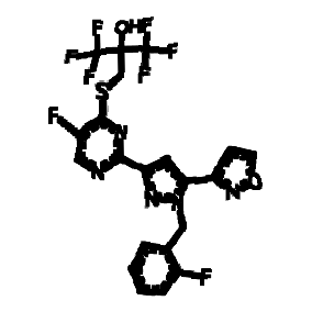 OC(CSc1nc(-c2cc(-c3ccon3)n(Cc3ccccc3F)n2)ncc1F)(C(F)(F)F)C(F)(F)F